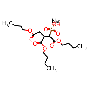 CCCCOC(=O)CC(C(=O)OCCCC)C(C(=O)OCCCC)S(=O)(=O)O.[Na]